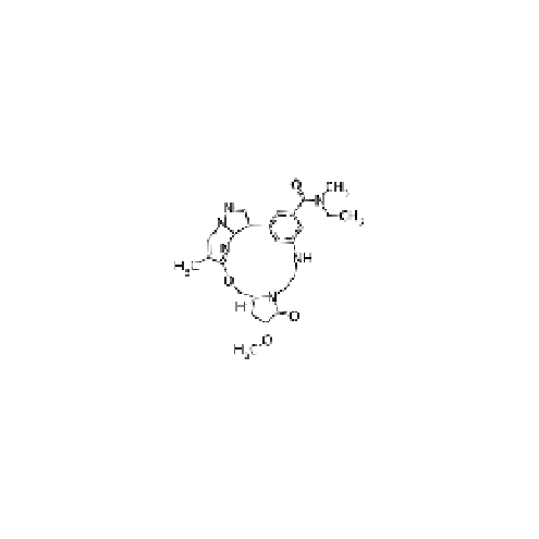 CCN(C)C(=O)c1cc2cc(c1)C1C=NN3C=C(C)C(=NC13)OC[C@@H]1C[C@@H](OC)C(=O)N1CCN2